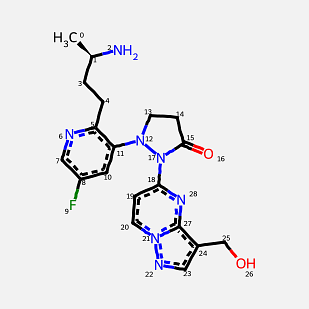 C[C@@H](N)CCc1ncc(F)cc1N1CCC(=O)N1c1ccn2ncc(CO)c2n1